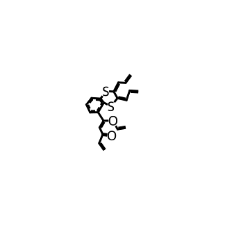 C=C/C=C1/Sc2cccc(/C(=C/C(=O)C=C)OC=C)c2S/C1=C/C=C